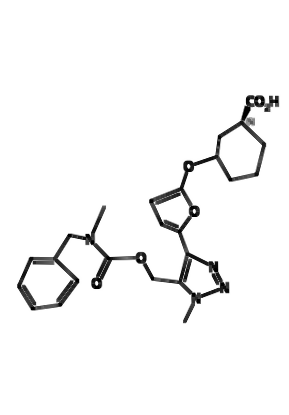 CN(Cc1ccccc1)C(=O)OCc1c(-c2ccc(OC3CCC[C@H](C(=O)O)C3)o2)nnn1C